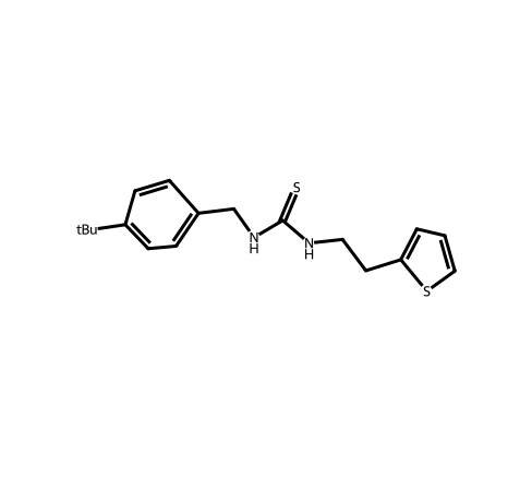 CC(C)(C)c1ccc(CNC(=S)NCCc2cccs2)cc1